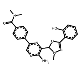 CN(C)C(=O)c1ccc(-c2cnc(N)c(C3OC(c4ccccc4O)=NN3C)n2)cc1